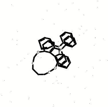 C1=CC(P(c2ccccc2)c2ccccc2)=C2C3=C(C=CC[C@@H]3P(c3ccccc3)c3ccccc3)OCCCCCCOC2C1